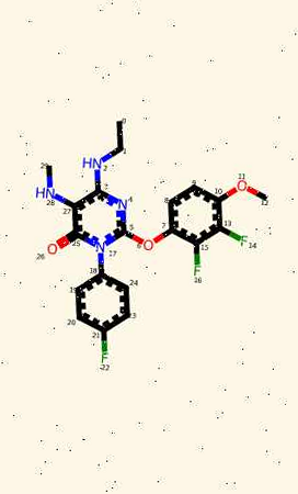 CCNc1nc(Oc2ccc(OC)c(F)c2F)n(-c2ccc(F)cc2)c(=O)c1NC